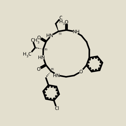 CC[C@@H]1NC(=O)[C@@H](C(C)C)NC(=O)[C@@H](Cc2ccc(Cl)cc2)NCCOc2ccccc2CCCNC1=O